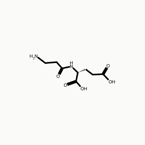 NCCC(=O)N[C@H](CCC(=O)O)C(=O)O